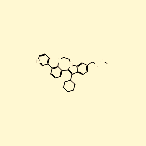 COOCc1ccc2c(C3CCCCC3)c3n(c2c1)CCOc1c(-c2cccnc2)cccc1-3